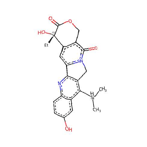 CC[C@@]1(O)C(=O)OCc2c1cc1n(c2=O)Cc2c-1nc1ccc(O)cc1c2[SiH](C)C